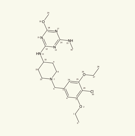 CCOc1cc(CN2CCC(Nc3nc(NC)nc(OC)n3)CC2)cc(OCC)c1Cl